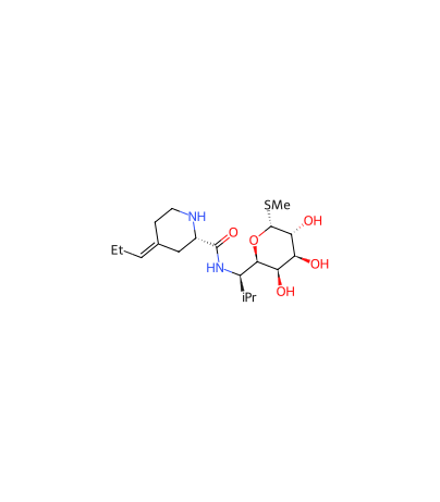 CC/C=C1\CCN[C@H](C(=O)N[C@H](C(C)C)[C@H]2O[C@H](SC)[C@H](O)[C@@H](O)[C@H]2O)C1